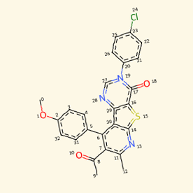 COc1ccc(-c2c(C(C)=O)c(C)nc3sc4c(=O)n(-c5ccc(Cl)cc5)cnc4c23)cc1